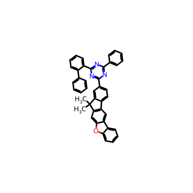 CC1(C)c2cc(-c3nc(-c4ccccc4)nc(-c4ccccc4-c4ccccc4)n3)ccc2-c2cc3c(cc21)oc1ccccc13